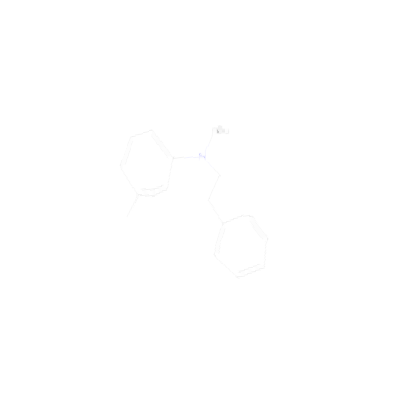 CCCCN(CCc1ccccc1)c1cccc(C)c1